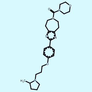 CC1CCCN1CCCOc1ccc(-c2nc3c(s2)CCN(C(=O)N2CCOCC2)CC3)cc1